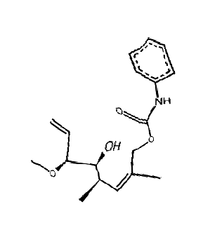 C=C[C@H](OC)[C@@H](O)[C@H](C)/C=C(/C)COC(=O)Nc1ccccc1